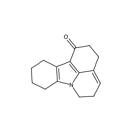 O=C1CCC2=CCCn3c4c(c1c32)CCCC4